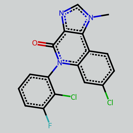 Cn1cnc2c(=O)n(-c3cccc(F)c3Cl)c3cc(Cl)ccc3c21